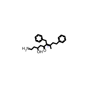 C/C(CCc1ccccc1)=C(/Cc1ccccc1)C(=O)CC(O)CCN